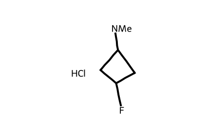 CNC1CC(F)C1.Cl